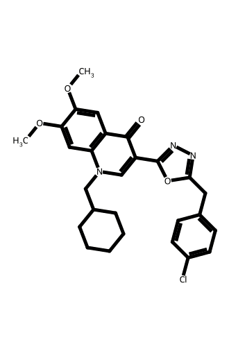 COc1cc2c(=O)c(-c3nnc(Cc4ccc(Cl)cc4)o3)cn(CC3CCCCC3)c2cc1OC